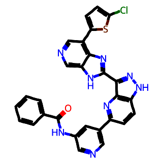 O=C(Nc1cncc(-c2ccc3[nH]nc(-c4nc5c(-c6ccc(Cl)s6)cncc5[nH]4)c3n2)c1)c1ccccc1